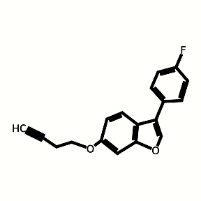 C#CCCOc1ccc2c(-c3ccc(F)cc3)coc2c1